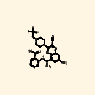 Cc1cc([C@@H](C)Nc2ccccc2C(=O)O)c2nc(N3CCN(CC(F)(F)F)CC3)c(C#N)nc2c1